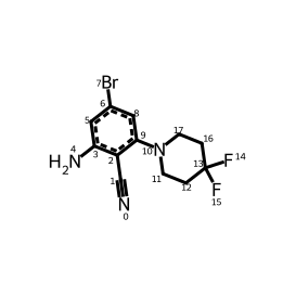 N#Cc1c(N)cc(Br)cc1N1CCC(F)(F)CC1